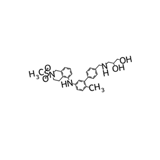 Cc1ccc(Nc2cccc3c2CCN(S(C)(=O)=O)C3)cc1-c1ccc(CNCC(O)CO)cc1